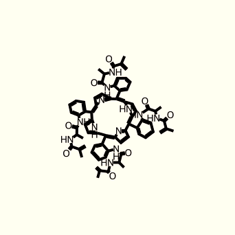 C=C(C)C(=O)NC(C)C(=O)Nc1ccccc1-c1c2nc(c(-c3ccccc3NC(=O)C(C)NC(=O)C(=C)C)c3ccc([nH]3)c(-c3ccccc3NC(=O)C(C)NC(=O)C(=C)C)c3nc(c(-c4ccccc4NC(=O)C(C)NC(=O)C(=C)C)c4ccc1[nH]4)C=C3)C=C2